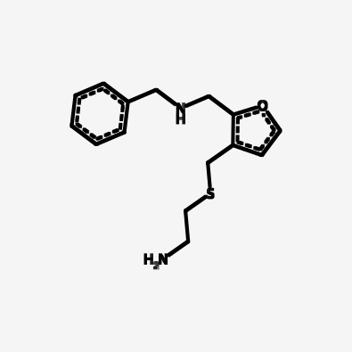 NCCSCc1ccoc1CNCc1ccccc1